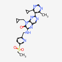 CCS(=O)(=O)c1ccc(CNc2nc3cnc(-c4c(C)ncnc4C4CC4)nc3n(CC3CC3)c2=O)nc1